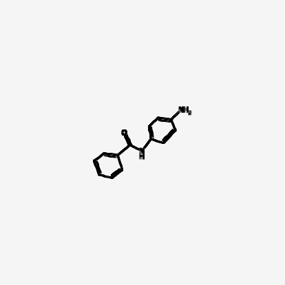 Nc1ccc(NC(=O)c2ccccc2)cc1